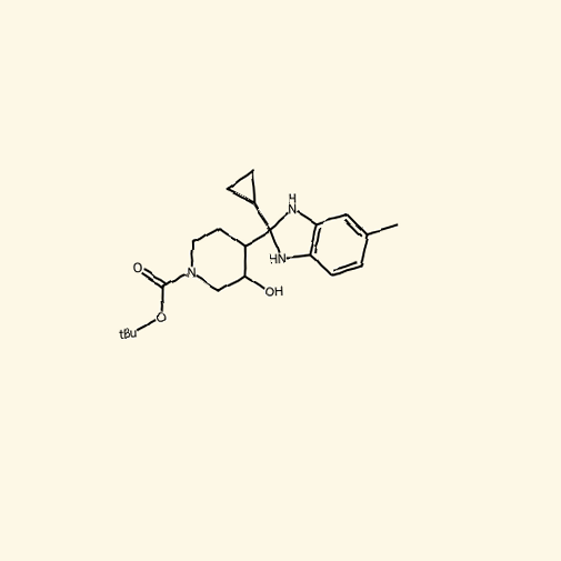 Cc1ccc2c(c1)NC(C1CC1)(C1CCN(C(=O)OC(C)(C)C)CC1O)N2